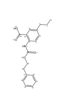 CCCc1ccc(NC(=O)OCCc2ccccc2)c(C(=O)O)c1